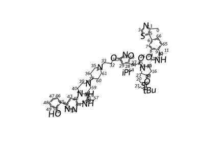 Cc1ncsc1-c1ccc([C@H](C)NC(=O)[C@@H]2C[C@@H](O[Si](C)(C)C(C)(C)C)CN2C(=O)[C@@H](c2cc(OCCN3CCC(N4CCN5c6cc(-c7ccccc7O)nnc6N[C@H](C)[C@H]5C4)CC3)no2)C(C)C)cc1